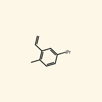 C=Cc1cc(C(C)C)ccc1C